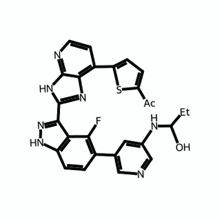 CCC(O)Nc1cncc(-c2ccc3[nH]nc(-c4nc5c(-c6ccc(C(C)=O)s6)ccnc5[nH]4)c3c2F)c1